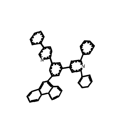 C1=CC2=CC(c3cc(-c4cc(C5=CCCC=C5)nc(-c5ccccc5)c4)cc(-c4ccc(-c5ccccc5)cn4)c3)=C3C=CC=CC3C2C=C1